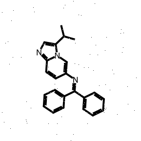 CC(C)c1cnc2ccc(N=C(c3ccccc3)c3ccccc3)cn12